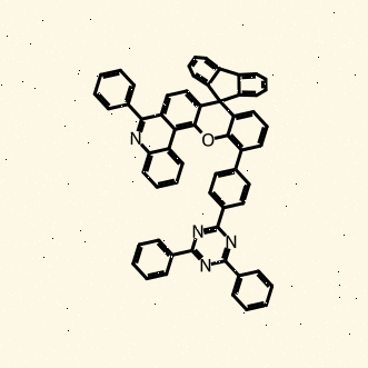 c1ccc(-c2nc(-c3ccccc3)nc(-c3ccc(-c4cccc5c4Oc4c(ccc6c(-c7ccccc7)nc7ccccc7c46)C54c5ccccc5-c5ccccc54)cc3)n2)cc1